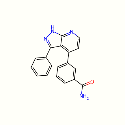 NC(=O)c1cccc(-c2ccnc3[nH]nc(-c4ccccc4)c23)c1